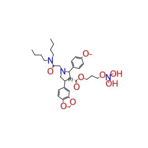 CCCCN(CCCC)C(=O)CN1CC(c2ccc3c(c2)OCO3)[C@@H](C(=O)OCCCON(O)O)C1c1ccc(OC)cc1